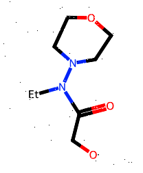 CCN(C(=O)C[O])N1CCOCC1